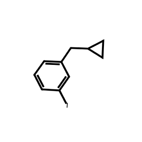 Ic1cccc(CC2CC2)c1